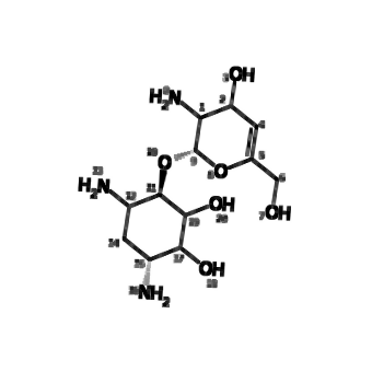 NC1C(O)C=C(CO)O[C@@H]1O[C@@H]1C(N)C[C@@H](N)C(O)C1O